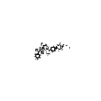 CN1CCN(c2ccc(Nc3ncc(F)c(NN(N)C(=O)c4ccccc4)n3)cc2)CC1